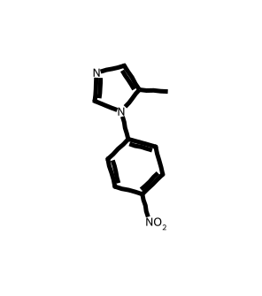 Cc1cncn1-c1ccc([N+](=O)[O-])cc1